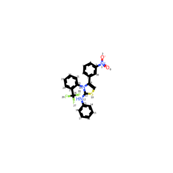 O=[N+]([O-])c1cccc(C2=CSC(Nc3ccccc3)N2c2ccccc2C(F)(F)F)c1